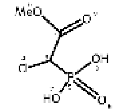 COC(=O)C(Cl)P(=O)(O)O